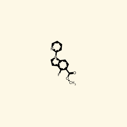 COC(=O)c1ccc2c(ccn2-c2ccccn2)c1F